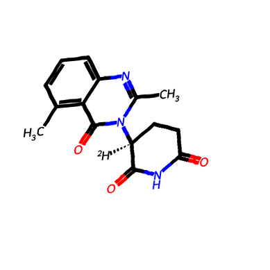 [2H][C@]1(n2c(C)nc3cccc(C)c3c2=O)CCC(=O)NC1=O